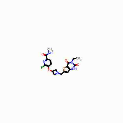 CCn1c(=O)[nH]c2cc(CN3CC(Oc4ccc(C(=O)NC)nc4F)C3)sc2c1=O